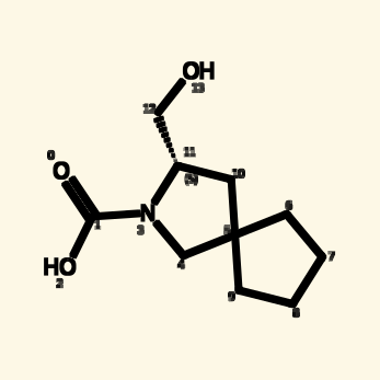 O=C(O)N1CC2(CCCC2)C[C@H]1CO